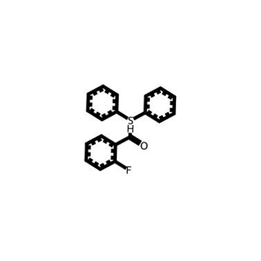 O=C(c1ccccc1F)[SH](c1ccccc1)c1ccccc1